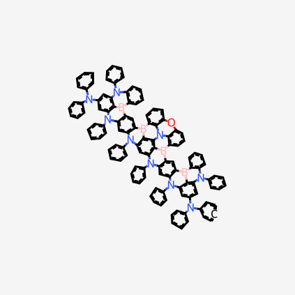 c1ccc(N(c2ccccc2)c2cc3c4c(c2)N(c2ccccc2)c2cc5c(cc2B4c2ccccc2N3c2ccccc2)B2c3cccc4c3N3c6c(cccc6B6c7cc8c(cc7N(c7ccccc7)c7cc(c2c3c76)N5c2ccccc2)N(c2ccccc2)c2cc(N(c3ccccc3)c3ccccc3)cc3c2B8c2ccccc2N3c2ccccc2)O4)cc1